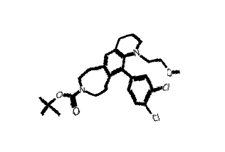 COCCN1CCCc2cc3c(c(-c4ccc(Cl)c(Cl)c4)c21)CCN(C(=O)OC(C)(C)C)CC3